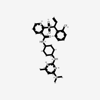 C=CC(c1ccccc1C(F)(F)F)S(=O)(=O)c1ncccc1C(=O)NC1CCC(Nc2nc(C)cc(N(C)C)n2)CC1